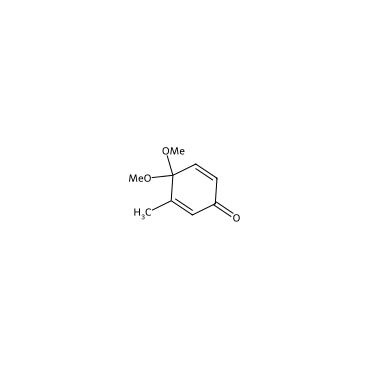 COC1(OC)C=CC(=O)C=C1C